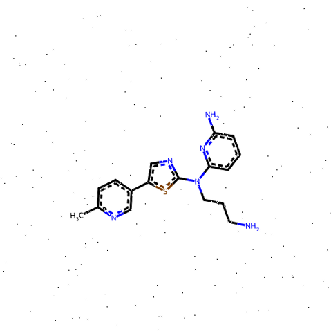 Cc1ccc(-c2cnc(N(CCCN)c3cccc(N)n3)s2)cn1